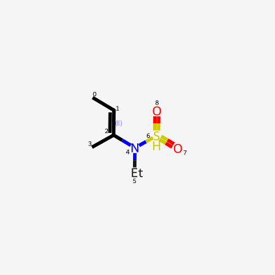 C/C=C(\C)N(CC)[SH](=O)=O